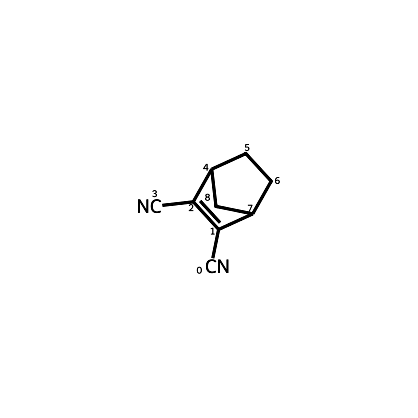 N#CC1=C(C#N)C2CCC1C2